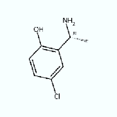 C[C@@H](N)c1cc(Cl)ccc1O